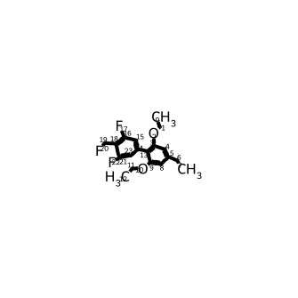 CCOc1cc(CC)cc(OCC)c1-c1cc(F)c(CF)c(F)c1